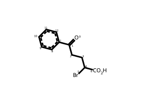 O=C(CCC(Br)C(=O)O)c1ccccc1